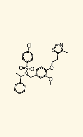 COc1cc(CN(C(C)c2ccccc2)S(=O)(=O)c2ccc(Cl)cc2)ccc1OCCc1scnc1C